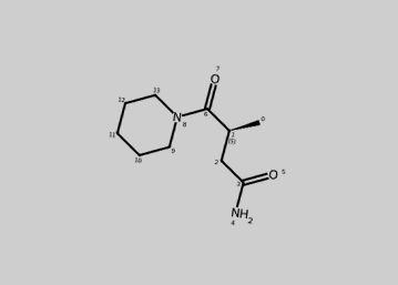 C[C@@H](CC(N)=O)C(=O)N1CCCCC1